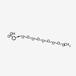 COCCOCCOCCOCCOCCOCCOCCOCCOCC#Cc1cccc(C(=O)O)c1